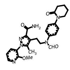 COc1ncccc1-n1nc(C(N)=O)c(CCN(C=O)c2ccc(N3CCCCC3=O)cc2)c1C